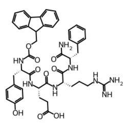 N=C(N)NCCC[C@H](NC(=O)[C@H](CCC(=O)O)NC(=O)[C@H](Cc1ccc(O)cc1)NC(=O)OCC1c2ccccc2-c2ccccc21)C(=O)N[C@@H](Cc1ccccc1)C(N)=O